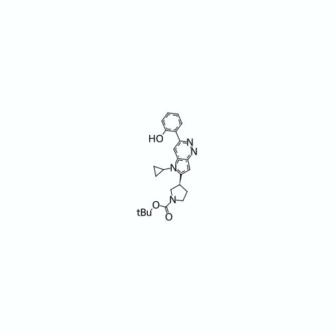 CC(C)(C)OC(=O)N1CC[C@H](c2cc3nnc(-c4ccccc4O)cc3n2C2CC2)C1